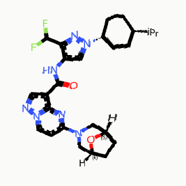 CC(C)[C@H]1CC[C@H](n2cc(NC(=O)c3cnn4ccc(N5C[C@H]6CC[C@@H](C5)O6)nc34)c(C(F)F)n2)CC1